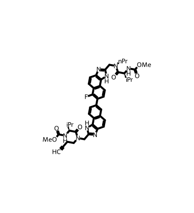 C#CCCN(Cc1nc2ccc3cc(-c4ccc5c(ccc6nc(CN(CCC)C(=O)[C@@H](NC(=O)OC)C(C)C)[nH]c65)c4F)ccc3c2[nH]1)C(=O)[C@@H](NC(=O)OC)C(C)C